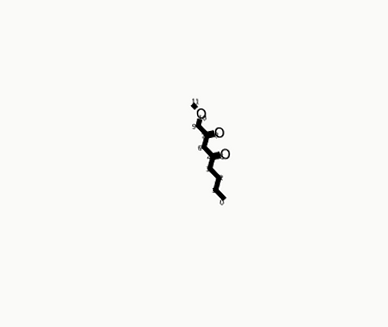 CCCCC(=O)CC(=O)COC